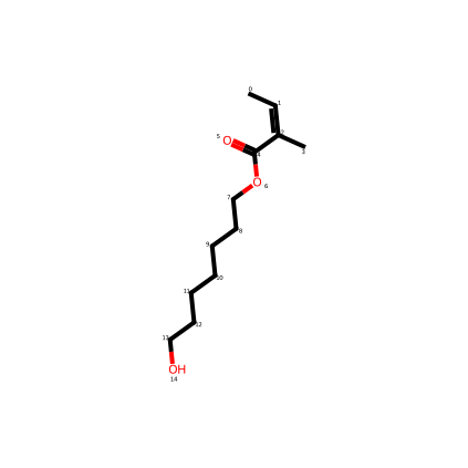 CC=C(C)C(=O)OCCCCCCCO